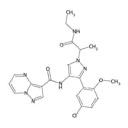 CCNC(=O)C(C)n1cc(NC(=O)c2cnn3cccnc23)c(-c2cc(Cl)ccc2OC)n1